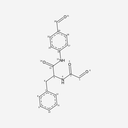 O=CC(=O)NC(Cc1ccccc1)C(=O)Nc1ccc(C=O)cc1